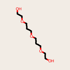 OCCOCCCOCCCOCCO